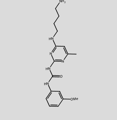 COc1cccc(NC(=O)Nc2nc(C)cc(NCCCCN)n2)c1